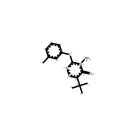 Cc1cccc(Sc2nnc(C(C)(C)C)c(=O)n2N)c1